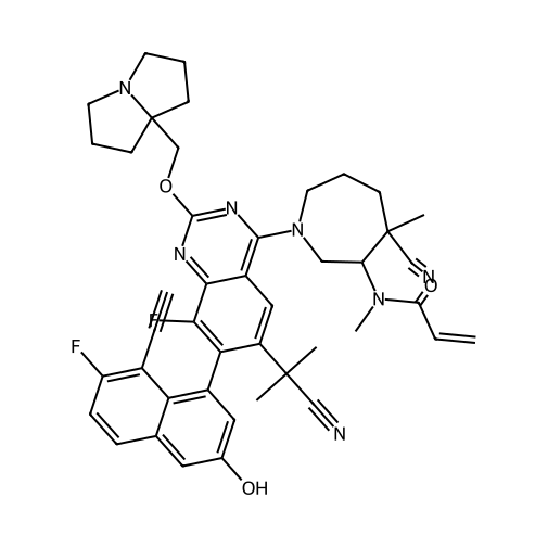 C#Cc1c(F)ccc2cc(O)cc(-c3c(C(C)(C)C#N)cc4c(N5CCCC(C)(C#N)C(N(C)C(=O)C=C)C5)nc(OCC56CCCN5CCC6)nc4c3F)c12